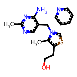 Cc1ncc(C[n+]2csc(CCO)c2C)c(N)n1.c1ccncc1